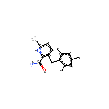 Cc1cc(C)c(Cc2ccc(C(C)(C)C)nc2C(N)=O)c(C)c1